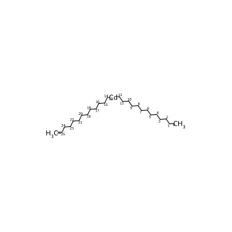 CCCCCCCCCCCC[CH2][Cd][CH2]CCCCCCCCCCCC